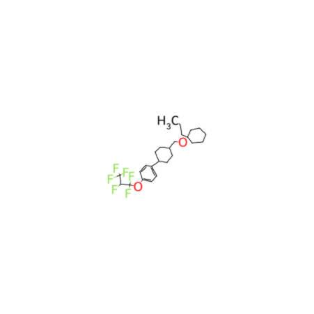 CCCC1(OCC2CCC(c3ccc(OC(F)(F)C(F)C(F)(F)F)cc3)CC2)CCCCC1